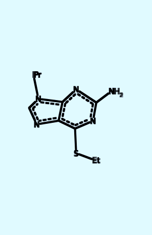 CCSc1nc(N)nc2c1ncn2C(C)C